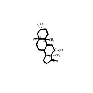 CC(=O)O[C@@H]1CC[C@]2(C)C3C[C@H](O)[C@]4(C)C(=O)CCC4C3CC[C@@H]2C1